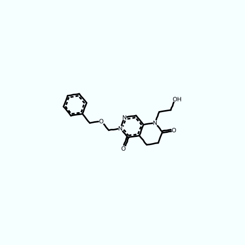 O=C1CCc2c(cnn(COCc3ccccc3)c2=O)N1CCO